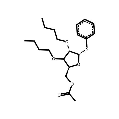 CCCCOC1[C@H](COC(C)=O)O[C@@H](Sc2ccccc2)[C@H]1OCCCC